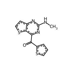 CNc1nc(C(=O)c2cccs2)c2sccc2n1